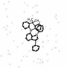 CC1(C)c2ccccc2N(c2cccc3c(-c4ccccc4)cn(-c4ccccc4)c23)c2ccccc21